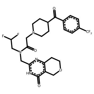 O=C(c1ccc(C(F)(F)F)cc1)C1CCN(CC(=O)N(Cc2nc3c(c(=O)[nH]2)COCC3)CC(F)F)CC1